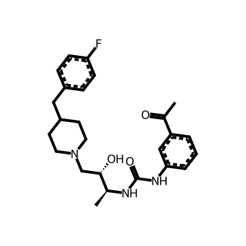 CC(=O)c1cccc(NC(=O)N[C@@H](C)[C@@H](O)CN2CCC(Cc3ccc(F)cc3)CC2)c1